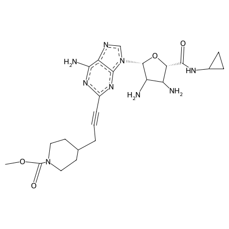 COC(=O)N1CCC(CC#Cc2nc(N)c3ncn([C@@H]4O[C@H](C(=O)NC5CC5)C(N)C4N)c3n2)CC1